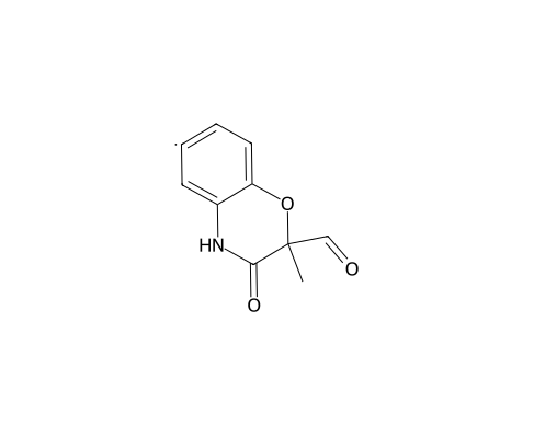 CC1(C=O)Oc2cc[c]cc2NC1=O